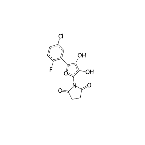 O=C1CCC(=O)N1c1oc(-c2cc(Cl)ccc2F)c(O)c1O